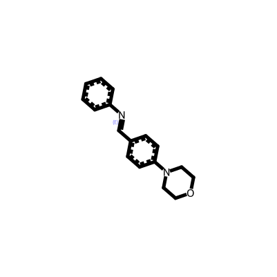 C(=N\c1ccccc1)/c1ccc(N2CCOCC2)cc1